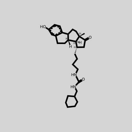 C[C@]12CCC3c4ccc(O)cc4CC[C@H]3[C@@H]1[C@@H](CCCCNC(=O)NCC1CCCCC1)CC2=O